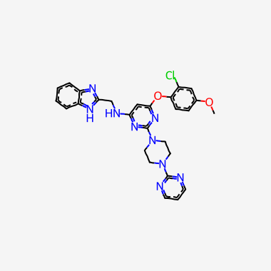 COc1ccc(Oc2cc(NCc3nc4ccccc4[nH]3)nc(N3CCN(c4ncccn4)CC3)n2)c(Cl)c1